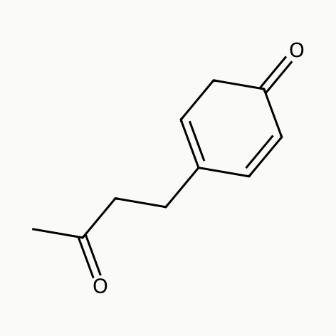 CC(=O)CCC1=CCC(=O)C=C1